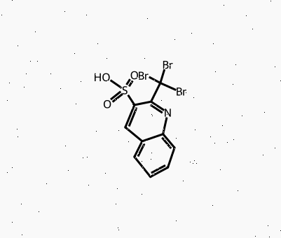 O=S(=O)(O)c1cc2ccccc2nc1C(Br)(Br)Br